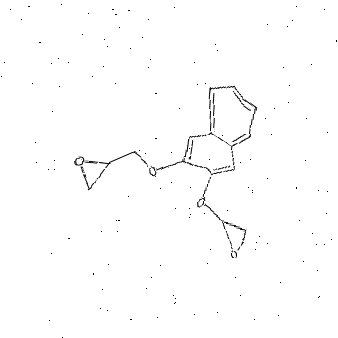 c1ccc2cc(OC3CO3)c(OCC3CO3)cc2c1